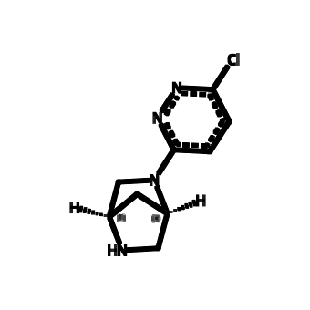 Clc1ccc(N2C[C@H]3C[C@@H]2CN3)nn1